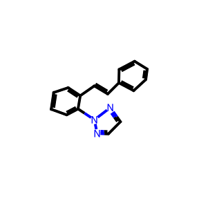 C(=C\c1ccccc1-n1nccn1)/c1ccccc1